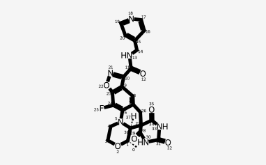 C[C@@H]1OCCN2c3c(cc4c(C(=O)NCc5ccncc5)noc4c3F)CC3(C(=O)NC(=O)NC3=O)[C@@H]12